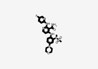 CN(c1cc(N2CCOCC2)ccc1Nc1ccnc(Nc2ccc(F)cn2)c1C(N)=O)S(C)(=O)=O